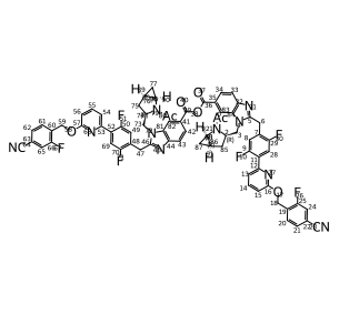 CC(=O)N1[C@@H](Cn2c(Cc3cc(F)c(-c4cccc(OCc5ccc(C#N)cc5F)n4)cc3F)nc3ccc(C(=O)OC(=O)c4ccc5nc(Cc6cc(F)c(-c7cccc(OCc8ccc(C#N)cc8F)n7)cc6F)n(C[C@H]6C[C@H]7C[C@H]7N6C(C)=O)c5c4)cc32)C[C@H]2C[C@H]21